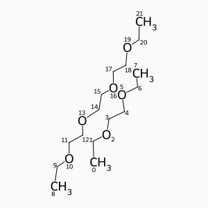 CCOCCOCC.CCOCCOCCOCCOCC